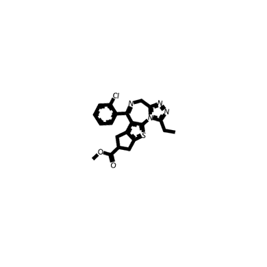 CCc1nnc2n1-c1sc3c(c1C(c1ccccc1Cl)=NC2)CC(C(=O)OC)C3